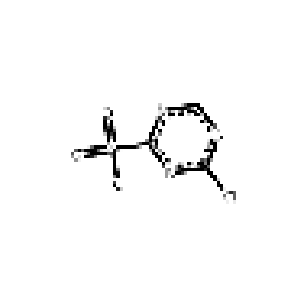 O=S(=O)(Cl)c1ncnc(Cl)n1